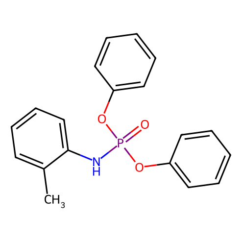 Cc1ccccc1NP(=O)(Oc1ccccc1)Oc1ccccc1